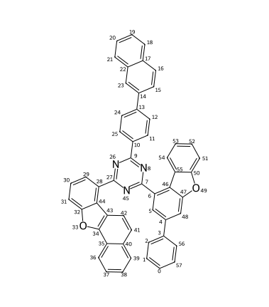 c1ccc(-c2cc(-c3nc(-c4ccc(-c5ccc6ccccc6c5)cc4)nc(-c4cccc5oc6c7ccccc7ccc6c45)n3)c3c(c2)oc2ccccc23)cc1